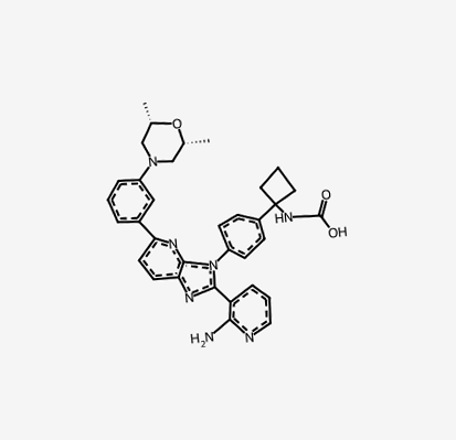 C[C@@H]1CN(c2cccc(-c3ccc4nc(-c5cccnc5N)n(-c5ccc(C6(NC(=O)O)CCC6)cc5)c4n3)c2)C[C@H](C)O1